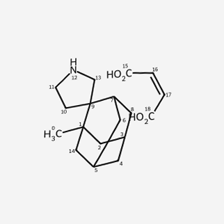 CC12CC3CC(CC(C3)C13CCNC3)C2.O=C(O)/C=C\C(=O)O